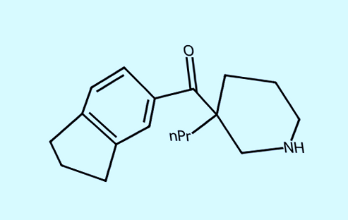 CCCC1(C(=O)c2ccc3c(c2)CCC3)CCCNC1